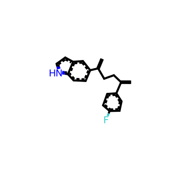 C=C(CCC(=C)c1ccc2[nH]ccc2c1)c1ccc(F)cc1